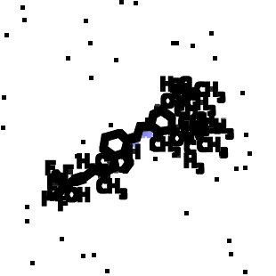 C=C1/C(=C\C=C2/CCC[C@]3(C)[C@@H]([C@H](C)CC#CC(O)(C(F)(F)F)C(F)(F)F)CC[C@@H]23)C[C@@H](O[Si](C)(C)C(C)(C)C)C[C@@H]1O[Si](C)(C)C(C)(C)C